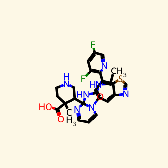 CCNC(=O)NC1(C2CNCCC2(C)C(=O)O)N=CC=CN1c1cc(-c2ncc(F)cc2F)c2scnc2c1